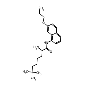 CCSOc1ccc2cccc(NC(=O)C(N)CCCCC(C)(C)C)c2c1